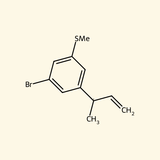 C=C[C](C)c1cc(Br)cc(SC)c1